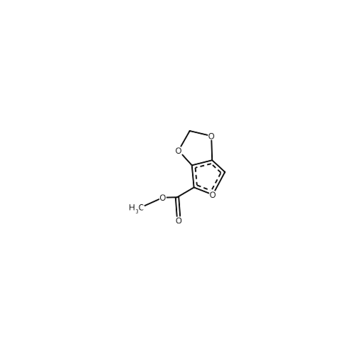 COC(=O)c1occ2c1OCO2